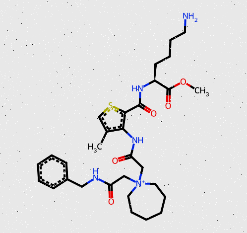 COC(=O)[C@H](CCCCN)NC(=O)c1scc(C)c1NC(=O)C[N+]1(CC(=O)NCc2ccccc2)CCCCCC1